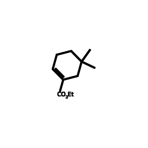 CCOC(=O)C1=CCCC(C)(C)C1